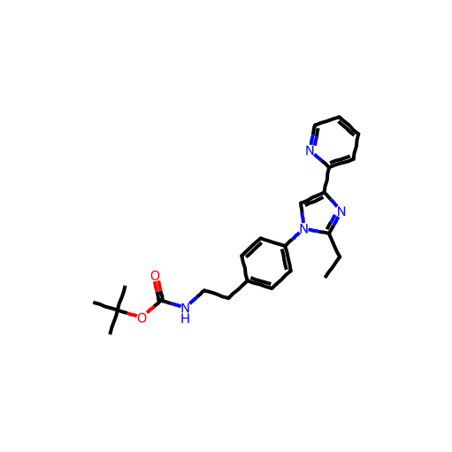 CCc1nc(-c2ccccn2)cn1-c1ccc(CCNC(=O)OC(C)(C)C)cc1